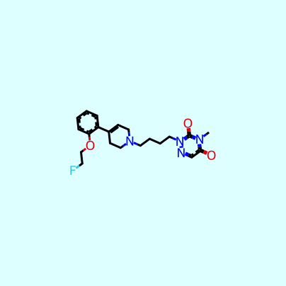 Cn1c(=O)cnn(CCCCN2CC=C(c3ccccc3OCCF)CC2)c1=O